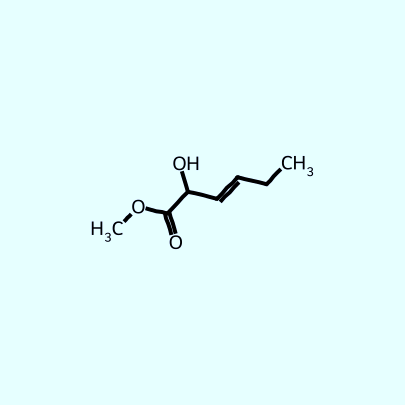 CCC=CC(O)C(=O)OC